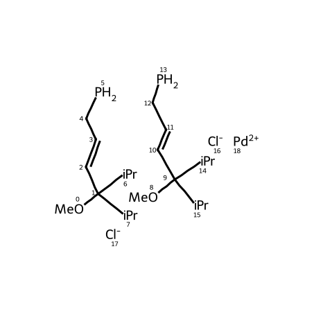 COC(C=CCP)(C(C)C)C(C)C.COC(C=CCP)(C(C)C)C(C)C.[Cl-].[Cl-].[Pd+2]